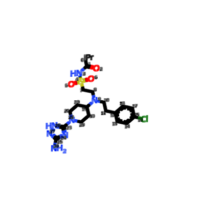 CC(C)C(=O)NS(=O)(=O)CCN(CCc1ccc(Cl)cc1)C1CCN(c2nc(N)n[nH]2)CC1